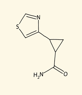 NC(=O)C1CC1c1cscn1